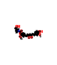 COc1cc(/C=C/C(=O)CC(=O)/C=C/c2ccc(OC(=O)N3CCC(CO)C3)c(OC)c2)ccc1O